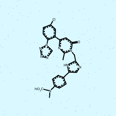 Cc1nc(-c2cc(Cl)ccc2-n2cnnn2)cc(=O)n1Cc1ncc(-c2ccc(N(C)C(=O)O)cc2)[nH]1